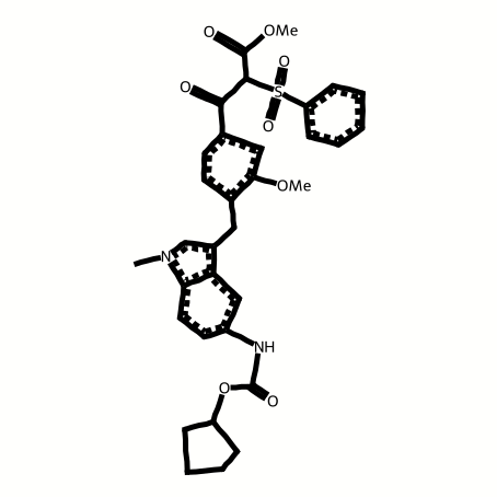 COC(=O)C(C(=O)c1ccc(Cc2cn(C)c3ccc(NC(=O)OC4CCCC4)cc23)c(OC)c1)S(=O)(=O)c1ccccc1